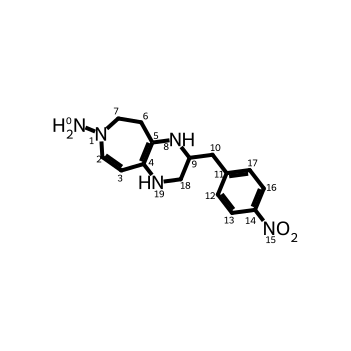 NN1C=CC2=C(CC1)NC(Cc1ccc([N+](=O)[O-])cc1)CN2